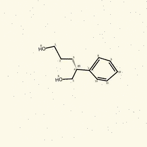 OCCC[C@@H](CO)c1ccccc1